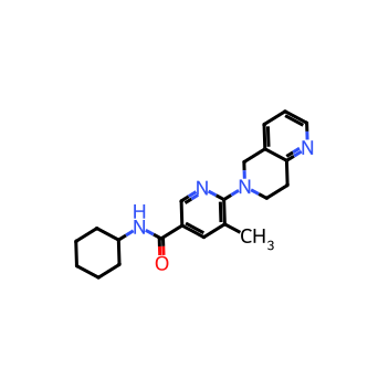 Cc1cc(C(=O)NC2CCCCC2)cnc1N1CCc2ncccc2C1